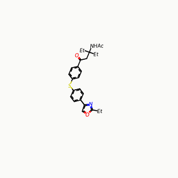 CCc1nc(-c2ccc(Sc3ccc(C(=O)CC(CC)(CC)NC(C)=O)cc3)cc2)co1